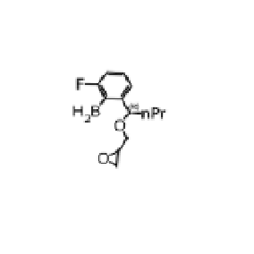 Bc1c(F)cccc1[C@@H](CCC)OCC1CO1